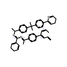 C=C/C=C(\C=C/C)c1ccc(/C(C)=N/C(=N\C(C)c2ccc(C(C)(C)c3ccc(C4=CCCC=N4)cc3)cc2)C2=CCCC=C2)cc1